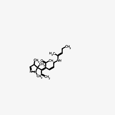 C=C/C(=C(\C=C/CN/C(C)=C/CC)C(C)=O)C1(C)C(C)C=NN1C